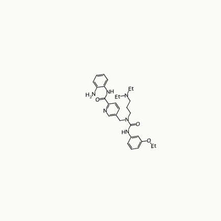 CCOc1cccc(NC(=O)N(CCCN(CC)CC)Cc2ccc(C(=O)Nc3ccccc3N)nc2)c1